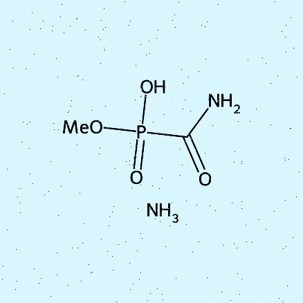 COP(=O)(O)C(N)=O.N